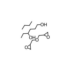 C(OCC1CO1)C1CO1.CCC(O)CCCO.CCCC